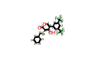 O=c1occ(-c2cc(C(F)(F)F)cc(C(F)(F)F)c2)c(O)c1SCc1ccccc1